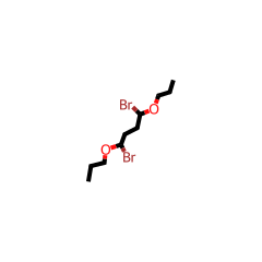 CCCOC(Br)CCC(Br)OCCC